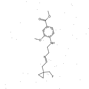 COC(=O)c1ccc(NCC/N=C/CC2(CF)CC2)c(OC)c1